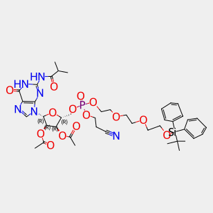 CC(=O)O[C@@H]1[C@H](OC(C)=O)[C@@H](COP(=O)(OCCC#N)OCCOCCOCCO[Si](c2ccccc2)(c2ccccc2)C(C)(C)C)O[C@H]1n1cnc2c(=O)[nH]c(NC(=O)C(C)C)nc21